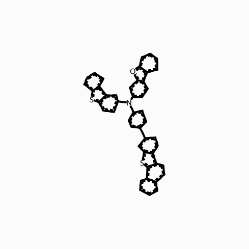 c1ccc2c(c1)ccc1c3ccc(-c4ccc(N(c5ccc6c(c5)oc5ccccc56)c5ccc6sc7ccccc7c6c5)cc4)cc3sc21